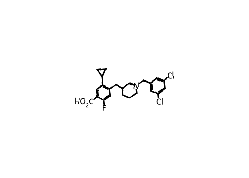 O=C(O)c1cc(C2CC2)c(CC2CCCN(Cc3cc(Cl)cc(Cl)c3)C2)cc1F